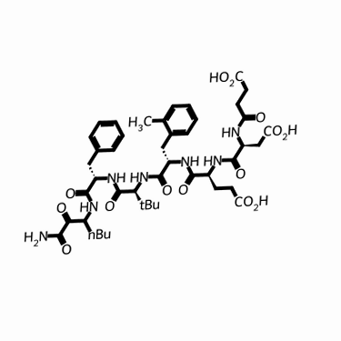 CCCCC(NC(=O)[C@H](Cc1ccccc1)NC(=O)[C@@H](NC(=O)[C@H](Cc1ccccc1C)NC(=O)[C@H](CCC(=O)O)NC(=O)[C@H](CC(=O)O)NC(=O)CCC(=O)O)C(C)(C)C)C(=O)C(N)=O